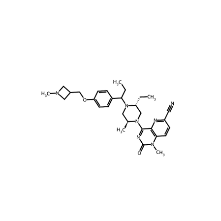 CCC(c1ccc(OCC2CN(C)C2)cc1)N1C[C@H](C)N(c2nc(=O)n(C)c3ccc(C#N)nc23)C[C@H]1CC